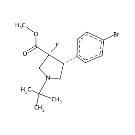 COC(=O)[C@]1(F)CN(C(C)(C)C)C[C@H]1c1ccc(Br)cc1